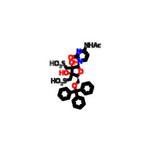 CC(=O)Nc1ccn([C@@H]2O[C@H](COC(c3ccccc3)(c3ccccc3)c3ccccc3)[C@](O)(CS(=O)(=O)O)[C@]2(O)CS(=O)(=O)O)c(=O)n1